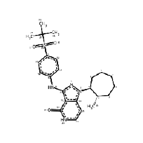 C[C@H]1CCCCC[C@@H]1n1nc(Nc2ccc(S(=O)(=O)C(C)(C)C)cc2)c2c(=O)[nH]ccc21